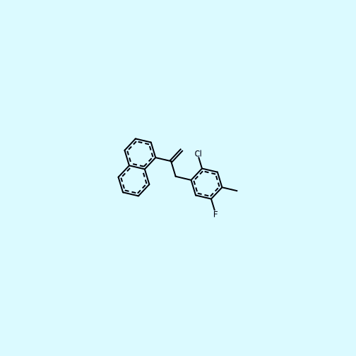 C=C(Cc1cc(F)c(C)cc1Cl)c1cccc2ccccc12